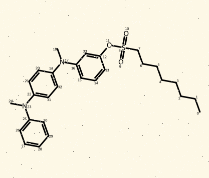 CCCCCCCCS(=O)(=O)Oc1cccc(N(C)c2ccc(N(C)c3ccccc3)cc2)c1